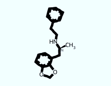 C[C@@H](Cc1cccc2c1OCO2)NCCc1ccccc1